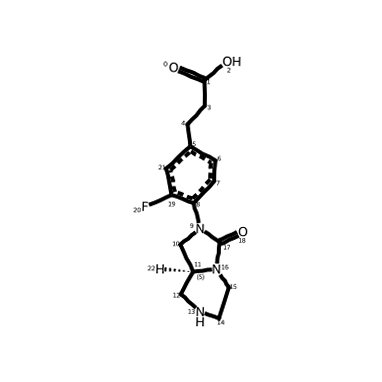 O=C(O)CCc1ccc(N2C[C@@H]3CNCCN3C2=O)c(F)c1